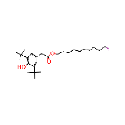 CC(C)(C)c1cc(CC(=O)OCCCCCCCCCCI)cc(C(C)(C)C)c1O